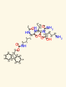 CC(=O)N[C@@H](CCCCNC(=O)OCC1c2ccccc2-c2ccccc21)C(=O)N[C@H](C(=O)N(C(N)=O)[C@@H](CCCN)C(=O)O)C(C)C